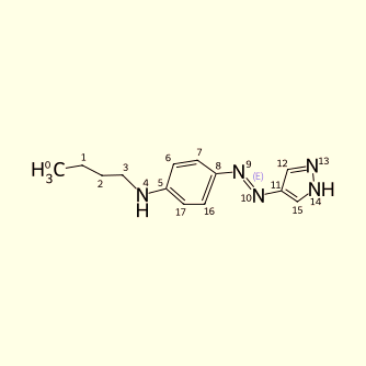 CCCCNc1ccc(/N=N/c2cn[nH]c2)cc1